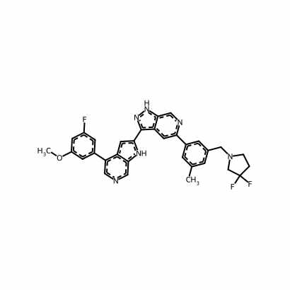 COc1cc(F)cc(-c2cncc3[nH]c(-c4n[nH]c5cnc(-c6cc(C)cc(CN7CCC(F)(F)C7)c6)cc45)cc23)c1